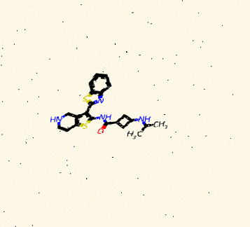 CC(C)NC1CC(C(=O)Nc2sc3c(c2-c2nc4ccccc4s2)CNCC3)C1